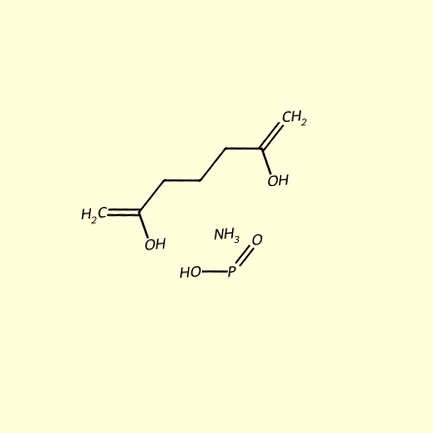 C=C(O)CCCC(=C)O.N.O=PO